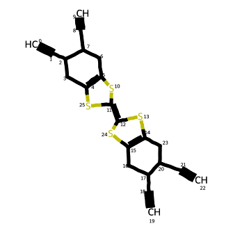 C#CC1CC2=C(CC1C#C)SC(=C1SC3=C(CC(C#C)C(C#C)C3)S1)S2